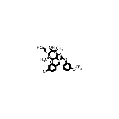 CN1c2nc(Oc3cccc(OC(F)(F)F)c3)n(Cc3ccc(Cl)cc3)c2C(=O)N(C)[C@H](CCO)C1O